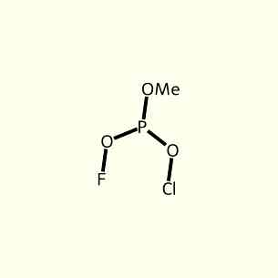 COP(OF)OCl